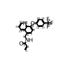 C=CC(=O)NCc1ccc(Oc2ccc(C(F)(F)F)cc2)c2ncccc12